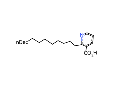 CCCCCCCCCCCCCCCCCCc1ncccc1C(=O)O